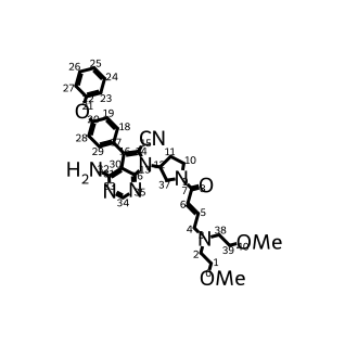 COCCN(C/C=C/C(=O)N1CCC(n2c(C#N)c(-c3ccc(Oc4ccccc4)cc3)c3c(N)ncnc32)C1)CCOC